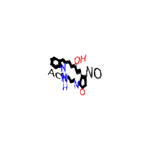 CC(=O)CNCCC/N=C1/C(=O)C[C@@H](N=O)[C@@H]1/C=C/C(O)CCc1cc2ccccc2[nH]1